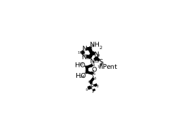 C=P(C)(C)CC[C@H]1O[C@@H](n2c(SCCCCC)nc3c(N)ncnc32)[C@H](O)[C@@H]1O